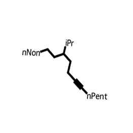 [CH2]CCCCC#CCCC(CCCCCCCCCC[CH2])C(C)C